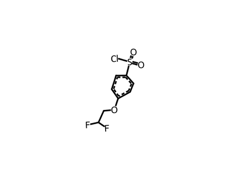 O=S(=O)(Cl)c1ccc(OCC(F)F)cc1